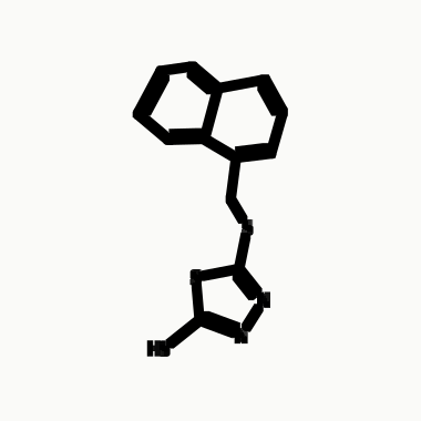 Sc1nnc(SCc2cccc3ccccc23)s1